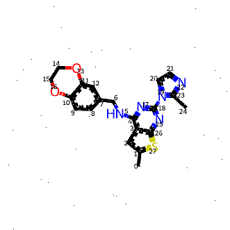 Cc1cc2c(NCc3ccc4c(c3)OCCO4)nc(-n3ccnc3C)nc2s1